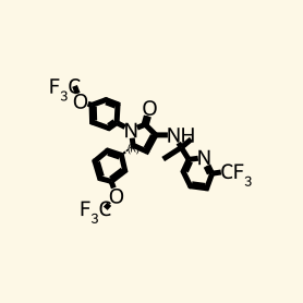 CC(C)(NC1=C[C@H](c2cccc(OC(F)(F)F)c2)N(c2ccc(OC(F)(F)F)cc2)C1=O)c1cccc(C(F)(F)F)n1